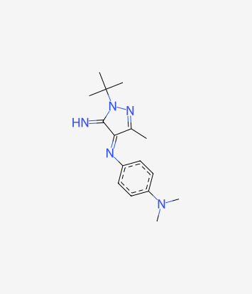 CC1=NN(C(C)(C)C)C(=N)C1=Nc1ccc(N(C)C)cc1